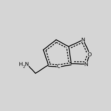 NCc1ccc2nonc2c1